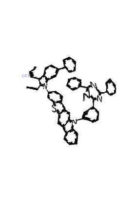 C=Cc1c(/C=C\C)c2ccc(-c3ccccc3)cc2n1-c1ccc2c(c1)sc1cc3c4ccccc4n(-c4cccc(-c5nc(-c6ccccc6)nc(-c6ccccc6)n5)c4)c3cc12